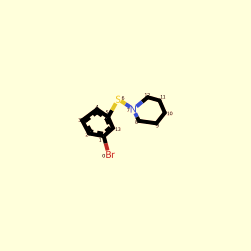 Brc1cccc(SN2CCCCC2)c1